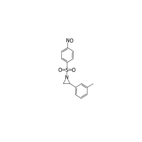 Cc1cccc(C2CN2S(=O)(=O)c2ccc(N=O)cc2)c1